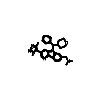 Cc1nnn(C)c1-c1cnc2c3ccc(CN(C)C)cc3n(C(c3ccccc3)C3CCOCC3)c2c1